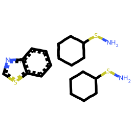 NSC1CCCCC1.NSC1CCCCC1.c1ccc2scnc2c1